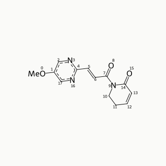 COc1cnc(C=CC(=O)N2CCC=CC2=O)nc1